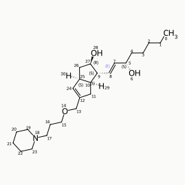 CCCCC[C@H](O)/C=C/[C@@H]1[C@H]2CC(COCCCN3CCCCC3)=C[C@H]2C[C@H]1O